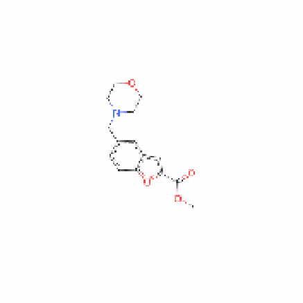 CCOC(=O)c1cc2cc(CN3CCOCC3)ccc2o1